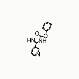 N=C(NC(=O)Oc1ccccc1)c1cc[c]nc1